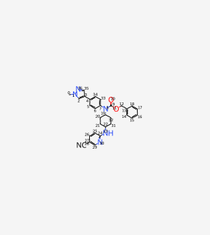 Cn1cc(-c2ccc(N(C(=O)OCc3ccccc3)[C@H]3CC[C@H](Nc4ccc(C#N)cn4)CC3)cc2)cn1